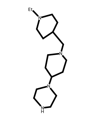 CCN1CCC(CN2CCC(N3CCNCC3)CC2)CC1